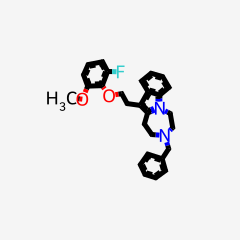 COc1cccc(F)c1OCCc1c2n(c3ccccc13)CCN(Cc1ccccc1)CC2